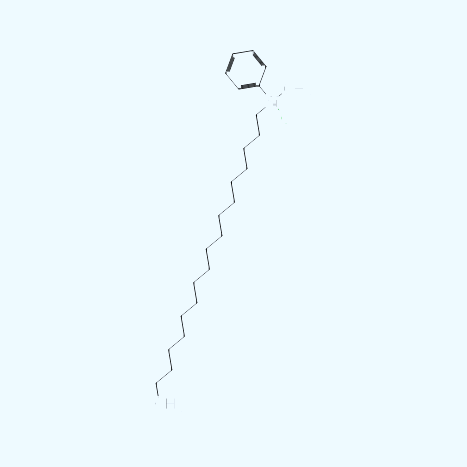 CCCCCCCCCCCCCCCCCC[Si](C)(Cl)c1ccccc1